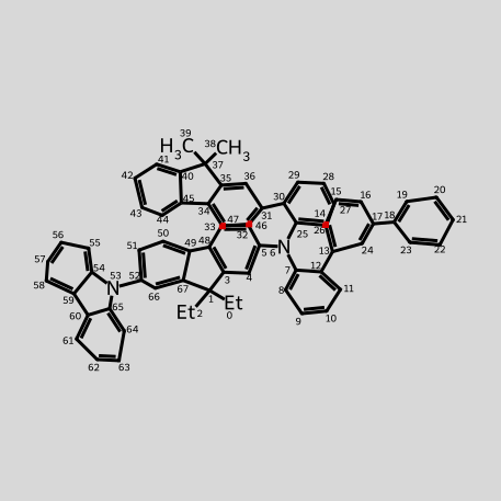 CCC1(CC)c2cc(N(c3ccccc3-c3cccc(-c4ccccc4)c3)c3ccccc3-c3ccc4c(c3)C(C)(C)c3ccccc3-4)ccc2-c2ccc(-n3c4ccccc4c4ccccc43)cc21